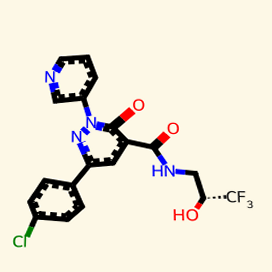 O=C(NC[C@@H](O)C(F)(F)F)c1cc(-c2ccc(Cl)cc2)nn(-c2cccnc2)c1=O